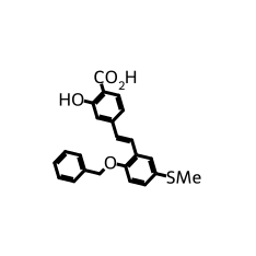 CSc1ccc(OCc2ccccc2)c(/C=C/c2ccc(C(=O)O)c(O)c2)c1